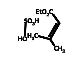 CCOC(=O)C=C(C)C.O=S(=O)(O)O